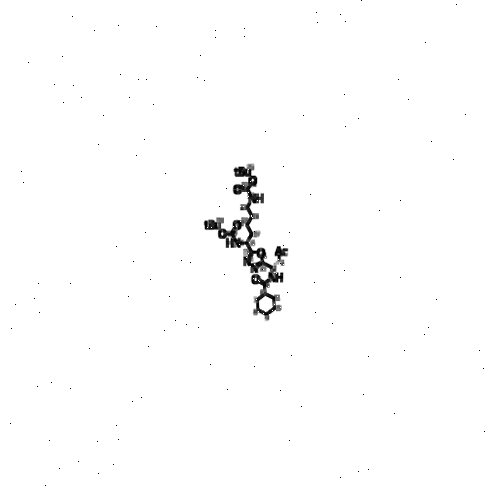 CC(=O)C[C@H](NC(=O)C1CCCCC1)c1nnc([C@H](CCCCNC(=O)OC(C)(C)C)NC(=O)OC(C)(C)C)o1